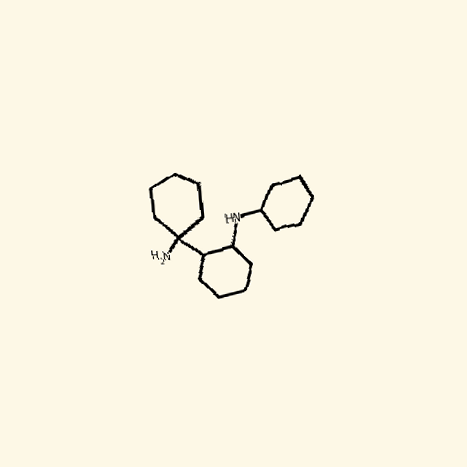 NC1(C2CCCCC2NC2CCCCC2)CCCCC1